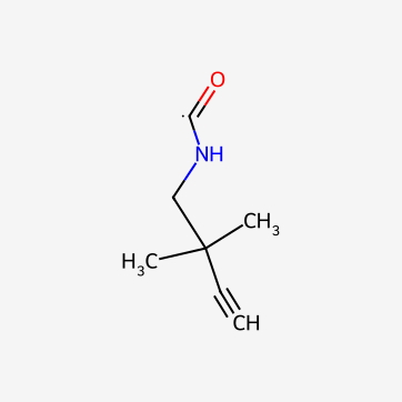 C#CC(C)(C)CN[C]=O